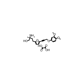 COc1ccc(OCC#Cc2ccc(CC[C@@](C)(N)CO)o2)cc1OC.O=C(O)C(=O)O